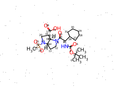 CC(C)(C)OC(=O)N[C@H](C(=O)N1CC[C@@H]2[C@H]1[C@@H](C(=O)O)CN2S(C)(=O)=O)C1CCCCC1